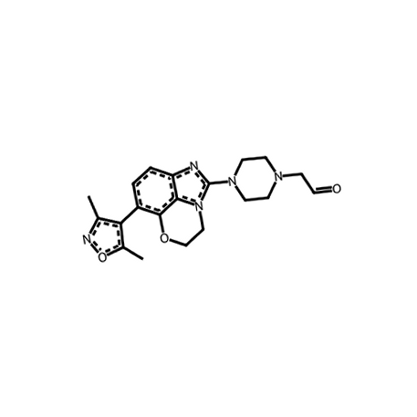 Cc1noc(C)c1-c1ccc2nc(N3CCN(CC=O)CC3)n3c2c1OCC3